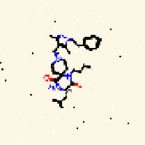 CCCCN1C(=O)[C@H](CC(C)C)NC(=O)C12CCN(Cc1c(C)nn(CCc3ccccc3)c1C)CC2